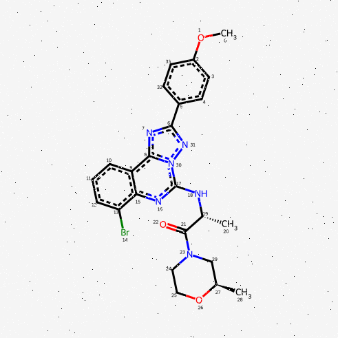 COc1ccc(-c2nc3c4cccc(Br)c4nc(N[C@H](C)C(=O)N4CCO[C@H](C)C4)n3n2)cc1